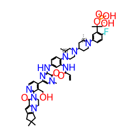 C=CC(=O)Nc1cc(Nc2nc(-c3ccnc(N4CCn5c(cc6c5CC(C)(C)C6)C4=O)c3CO)cn(C)c2=O)ccc1N1CCN(C2CCN(c3ccc(F)c(C(C)(C)OP(=O)(O)O)c3)[C@@H](C)C2)C[C@@H]1C